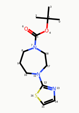 CC(C)(C)OC(=O)N1CCCN(c2nccs2)CC1